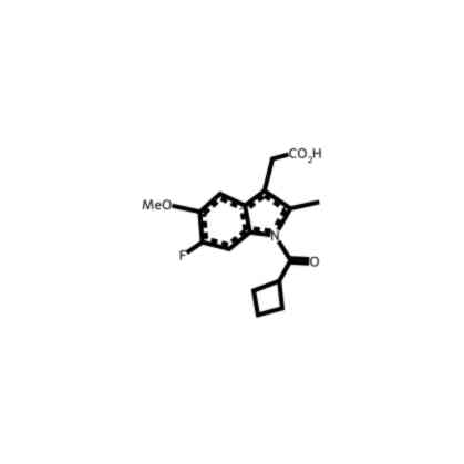 COc1cc2c(CC(=O)O)c(C)n(C(=O)C3CCC3)c2cc1F